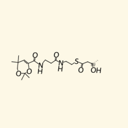 C[C@H](O)CC(=O)SCCNC(=O)CCNC(=O)C1=CC(C)(C)COC(C)(C)O1